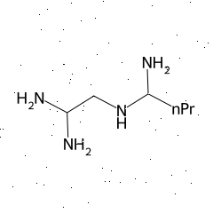 CCCC(N)NCC(N)N